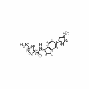 CCc1cc(-c2ccc3c(c2)CCC3NC(=O)c2nnn(C)n2)no1